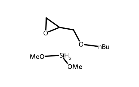 CCCCOCC1CO1.CO[SiH2]OC